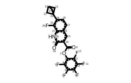 O=C(Oc1c(F)c(F)c(F)c(F)c1F)c1cc2ccc(C34CC(C3)C4)c(F)c2[nH]c1=O